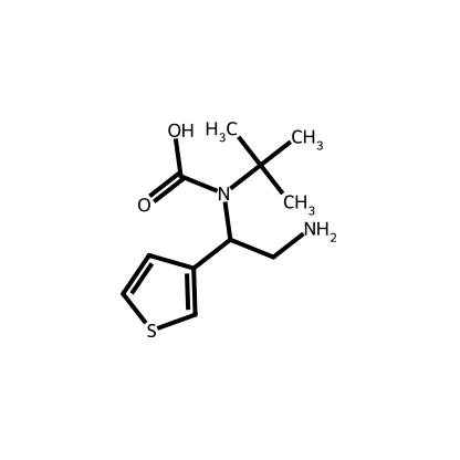 CC(C)(C)N(C(=O)O)C(CN)c1ccsc1